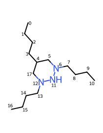 CCCCC1CN(CCCC)NN(CCCC)C1